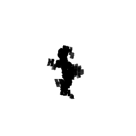 COC(=O)c1ccc(N(CC#Cc2cc3c(N[C@@H]4CCN(C)C[C@@H]4F)cccc3n2CC(F)(F)F)C(=O)OC(C)(C)C)c(OC)c1